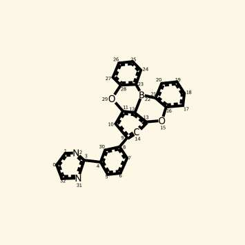 c1cnc(-c2cccc(-c3cc4c5c(c3)Oc3ccccc3B5c3ccccc3O4)c2)nc1